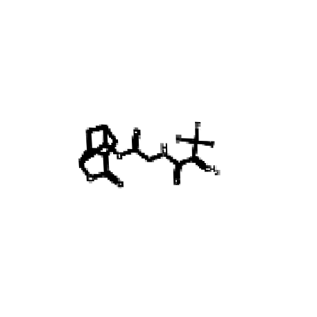 C=C(C(=O)NCC(=O)OC1C2CC3C(=O)OC1C3C2)C(F)(F)F